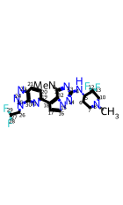 CNc1nc(N[C@@H]2CCN(C)CC2(F)F)nn2ccc(-c3ccc4nnn(CC(F)F)c4n3)c12